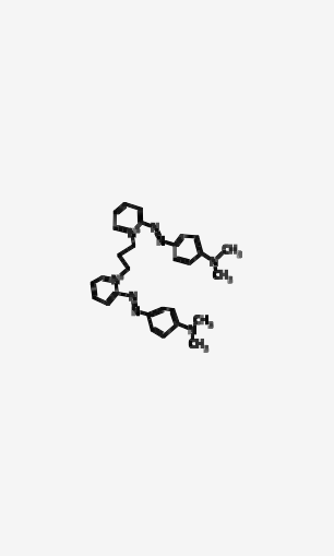 CN(C)c1ccc(/N=N/c2cccc[n+]2CCC[n+]2ccccc2/N=N/c2ccc(N(C)C)cc2)cc1